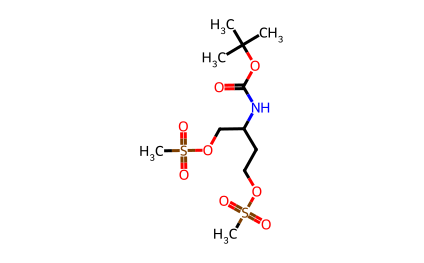 CC(C)(C)OC(=O)NC(CCOS(C)(=O)=O)COS(C)(=O)=O